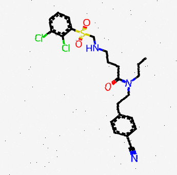 CCCN(CCc1ccc(C#N)cc1)C(=O)CCCNCS(=O)(=O)c1cccc(Cl)c1Cl